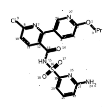 CC(C)Oc1ccc(-c2nc(Cl)ccc2C(=O)NS(=O)(=O)c2cccc(N)n2)cn1